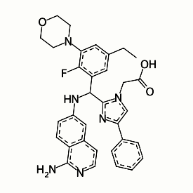 CCc1cc(C(Nc2ccc3c(N)nccc3c2)c2nc(-c3ccccc3)cn2CC(=O)O)c(F)c(N2CCOCC2)c1